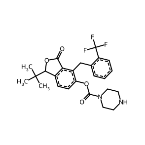 CC(C)(C)C1OC(=O)c2c1ccc(OC(=O)N1CCNCC1)c2Cc1ccccc1C(F)(F)F